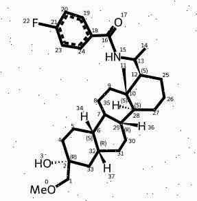 COC[C@@]1(O)CC[C@@H]2C3CC[C@]4(C)[C@@H](C(C)NC(=O)c5ccc(F)cc5)CCC[C@H]4[C@@H]3CC[C@@H]2C1